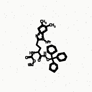 CCCn1c(CCC(NC(=O)OC(C)(C)C)C(=O)NOC(c2ccccc2)(c2ccccc2)c2ccccc2)nc2cc(C)c(C)cc21